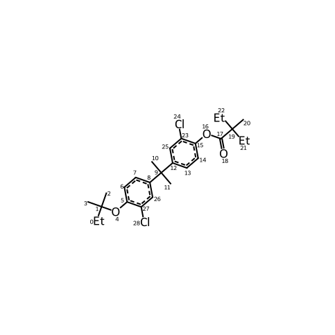 CCC(C)(C)Oc1ccc(C(C)(C)c2ccc(OC(=O)C(C)(CC)CC)c(Cl)c2)cc1Cl